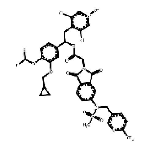 CS(=O)(=O)N(Cc1ccc(C(F)(F)F)nc1)c1ccc2c(c1)C(=O)N(CC(=O)OC(Cc1c(Cl)c[n+]([O-])cc1Cl)c1ccc(OC(F)F)c(OCC3CC3)c1)C2=O